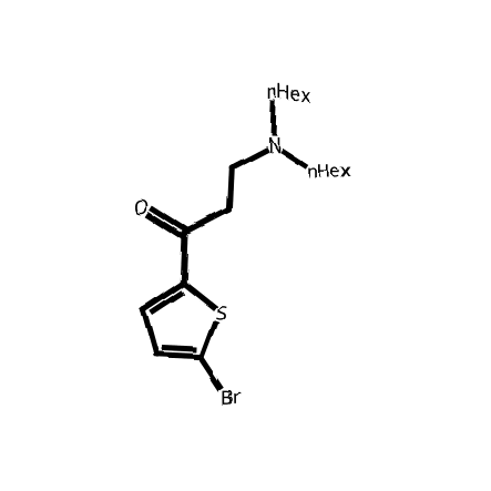 CCCCCCN(CCCCCC)CCC(=O)c1ccc(Br)s1